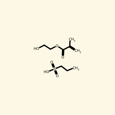 C=C(C)C(=O)OCCO.CCCS(=O)(=O)O